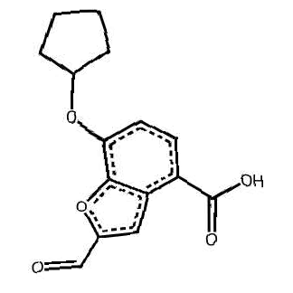 O=Cc1cc2c(C(=O)O)ccc(OC3CCCC3)c2o1